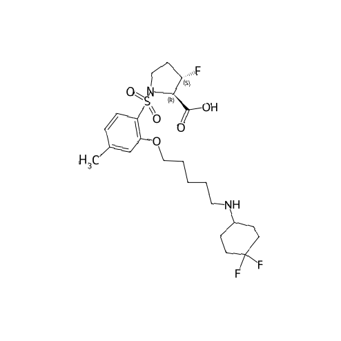 Cc1ccc(S(=O)(=O)N2CC[C@H](F)[C@H]2C(=O)O)c(OCCCCCNC2CCC(F)(F)CC2)c1